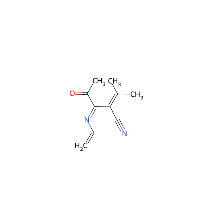 C=C/N=C(/C(C)=O)C(C#N)=C(C)C